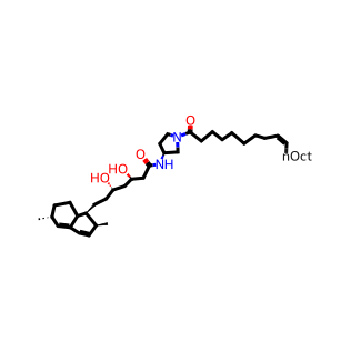 CCCCCCCC/C=C\CCCCCCCC(=O)N1CC[C@H](NC(=O)C[C@H](O)C[C@@H](O)CC[C@@H]2C3CC[C@@H](C)C=C3C=C[C@@H]2C)C1